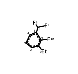 CCc1cccc(C(F)F)c1F